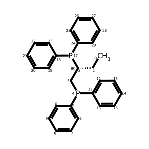 CC[C@H](CP(c1ccccc1)c1ccccc1)P(c1ccccc1)c1ccccc1